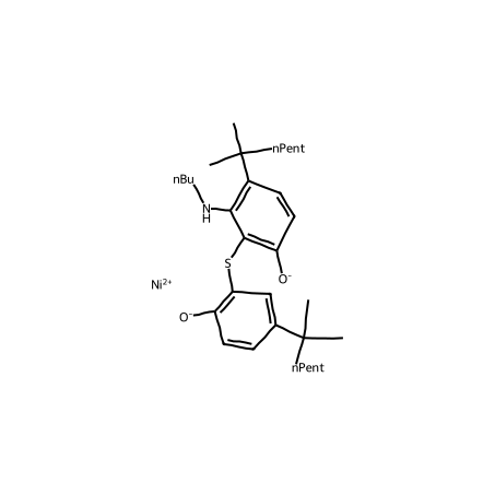 CCCCCC(C)(C)c1ccc([O-])c(Sc2c([O-])ccc(C(C)(C)CCCCC)c2NCCCC)c1.[Ni+2]